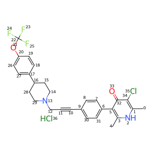 Cc1[nH]c(C)c(-c2ccc(C#CCN3CCC(c4ccc(OC(F)(F)F)cc4)CC3)cc2)c(=O)c1Cl.Cl